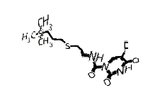 C[Si](C)(C)CCCSCCNC(=O)n1cc(F)c(=O)[nH]c1=O